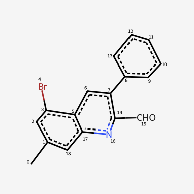 Cc1cc(Br)c2cc(-c3ccccc3)c(C=O)nc2c1